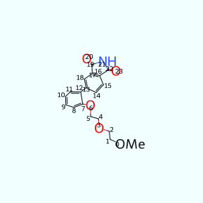 COCCOCCOc1ccccc1-c1ccc2c(c1)C(=O)NC2=O